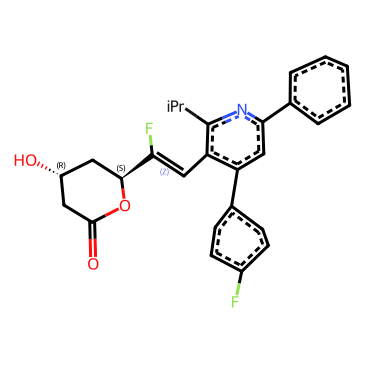 CC(C)c1nc(-c2ccccc2)cc(-c2ccc(F)cc2)c1/C=C(\F)[C@@H]1C[C@@H](O)CC(=O)O1